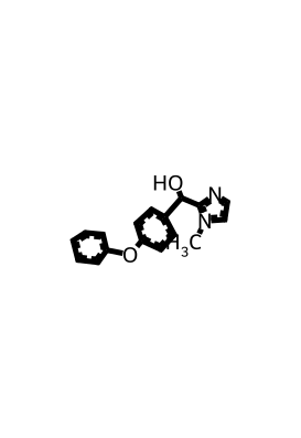 Cn1ccnc1C(O)c1ccc(Oc2ccccc2)cc1